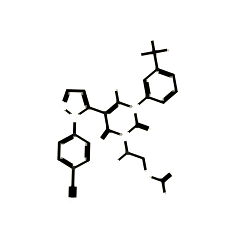 CC(=O)OCC(C)n1c(=O)c(-c2ccnn2-c2ccc(C#N)cc2)c(C)n(-c2cccc(C(F)(F)F)c2)c1=O